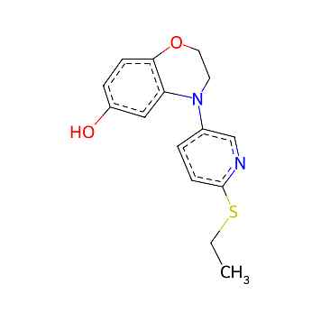 CCSc1ccc(N2CCOc3ccc(O)cc32)cn1